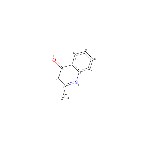 O=C1CC(C(F)(F)F)=Nc2ccccc21